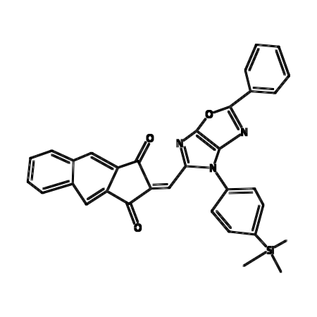 C[Si](C)(C)c1ccc(-n2c(C=C3C(=O)c4cc5ccccc5cc4C3=O)nc3oc(-c4ccccc4)nc32)cc1